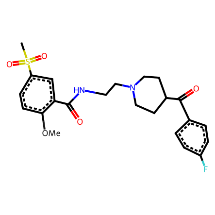 COc1ccc(S(C)(=O)=O)cc1C(=O)NCCN1CCC(C(=O)c2ccc(F)cc2)CC1